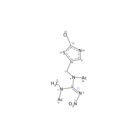 CC(=O)N(C)/C(=N\[N+](=O)[O-])N(Cc1cnc(Cl)s1)C(C)=O